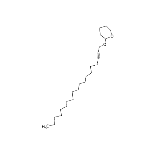 CCCCCCCCCCCCCCCCC#CCOC1CCCCO1